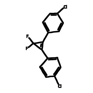 FC1(F)C(c2ccc(Cl)cc2)=C1c1ccc(Cl)cc1